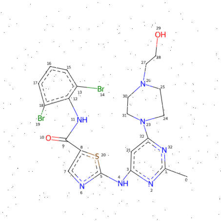 Cc1nc(Nc2ncc(C(=O)Nc3c(Br)cccc3Br)s2)cc(N2CCN(CCO)CC2)n1